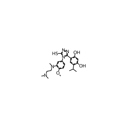 COc1ccc(-n2c(S)nnc2-c2cc(C(C)C)c(O)cc2O)cc1N(C)CCN(C)C